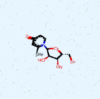 CSc1cc(=O)ccn1C1O[C@H](CO)[C@@H](O)[C@H]1O